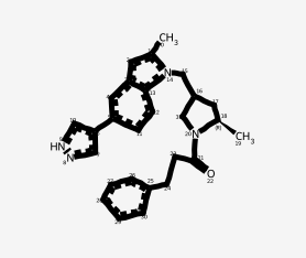 Cc1cc2cc(-c3cn[nH]c3)ccc2n1CC1C[C@@H](C)N(C(=O)CCc2ccccc2)C1